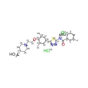 CCCCN(C(=O)c1cc(C)ccc1Cl)c1nnc(-c2cc(C)c(OCCN3CCC(C(=O)O)CC3)c(C)c2)s1.Cl